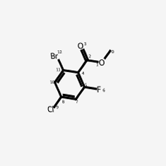 COC(=O)c1c(F)cc(Cl)cc1Br